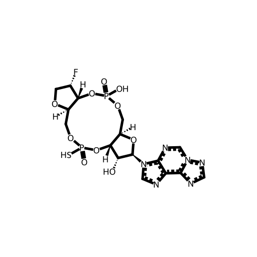 O=P1(O)OC[C@H]2O[C@@H](n3cnc4c3ncn3ncnc43)[C@H](O)[C@@H]2OP(=O)(S)OC[C@H]2OC[C@H](F)[C@@H]2O1